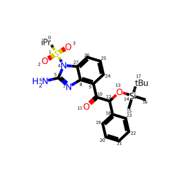 CC(C)S(=O)(=O)n1c(N)nc2c(C(=O)C(O[Si](C)(C)C(C)(C)C)c3ccccc3)cccc21